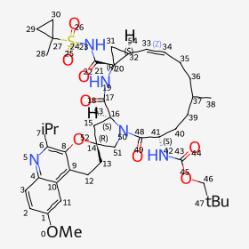 COc1ccc2nc(C(C)C)c3c(c2c1)CC[C@]1(C[C@H]2C(=O)N[C@]4(C(=O)NS(=O)(=O)C5(C)CC5)C[C@H]4/C=C\CCC(C)CC[C@H](NC(=O)OCC(C)(C)C)C(=O)N2C1)O3